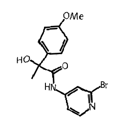 COc1ccc(C(C)(O)C(=O)Nc2ccnc(Br)c2)cc1